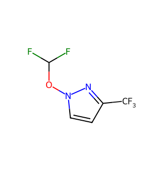 FC(F)On1ccc(C(F)(F)F)n1